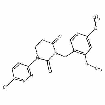 COc1ccc(CN2C(=O)CCN(c3ccc(Cl)nn3)C2=O)c(OC)c1